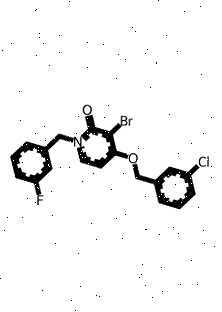 O=c1c(Br)c(OCc2cccc(Cl)c2)ccn1Cc1cccc(F)c1